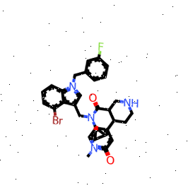 Cn1ccc(C2CCNCC2C(=O)N(Cc2cn(Cc3cccc(F)c3)c3cccc(Br)c23)C2CC2)cc1=O